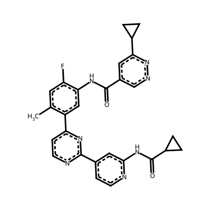 Cc1cc(F)c(NC(=O)c2cnnc(C3CC3)c2)cc1-c1ccnc(-c2ccnc(NC(=O)C3CC3)c2)n1